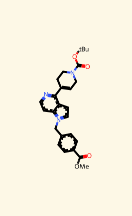 COC(=O)c1ccc(Cn2ccc3c(C4=CCN(C(=O)OC(C)(C)C)CC4)nccc32)cc1